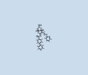 O=C(O[C@@H]1C[C@@H]2OC(O)C[C@@H]2[C@H]1COCc1ccccc1)c1ccc(-c2ccccc2)cc1